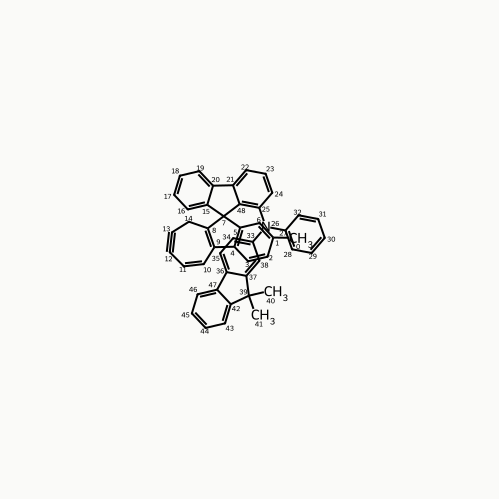 Cc1ccc2c(c1)C1(C3=C2C=CC#CC3)c2ccccc2-c2cccc(N(c3ccccc3)c3ccc4c(c3)C(C)(C)c3ccccc3-4)c21